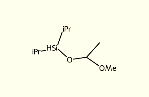 COC(C)O[SiH](C(C)C)C(C)C